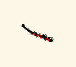 C[C@H](N(Cc1ccc(F)cc1)C(=O)CN1C(=O)OC2(CCc3cc(NC(=O)CCc4ccc(NC(=O)CCOCCOCCOCCC5CCC5)cc4)ccc32)C1=O)C(F)(F)F